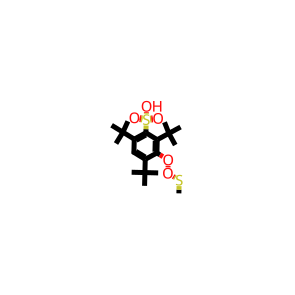 CSOOc1c(C(C)(C)C)cc(C(C)(C)C)c(S(=O)(=O)O)c1C(C)(C)C